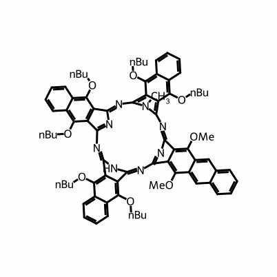 CCCCOc1c2c(c(OCCCC)c3ccccc13)-c1nc-2nc2[nH]c(nc3nc(nc4c5c(OCCCC)c6ccccc6c(OCCCC)c5c(n1)n4C)-c1c-3c(OC)c3cc4ccccc4cc3c1OC)c1c(OCCCC)c3ccccc3c(OCCCC)c21